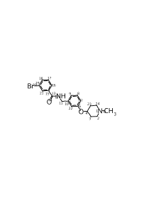 CN1CCC(Oc2cccc(CNC(=O)c3cccc(Br)c3)c2)CC1